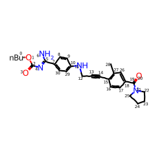 CCCCOC(=O)N=C(N)c1ccc(NCC#Cc2ccc(C(=O)N3CCCC3)cc2C)cc1